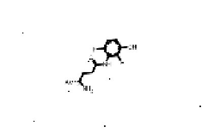 CC(=O)[C@@H](N)CCC(=O)Nc1c(F)ccc(O)c1F